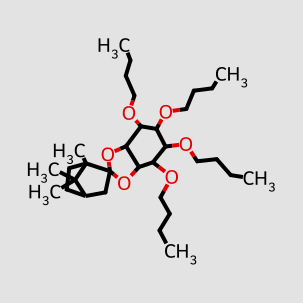 CCCCOC1C(OCCCC)C(OCCCC)C2OC3(CC4CCC3(C)C4(C)C)OC2C1OCCCC